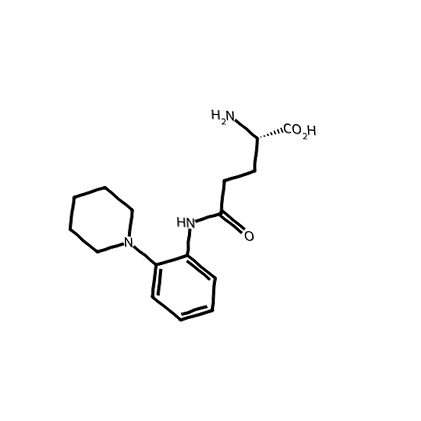 N[C@@H](CCC(=O)Nc1ccccc1N1CCCCC1)C(=O)O